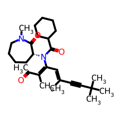 CC(=O)/C(C)=C(/C=C(\C)C#CC(C)(C)C)N(C(=O)C1CCCCC1)[C@@H]1CCCCN(C)C1=O